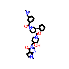 CN(C)Cc1cccc(C(=O)N2CC[C@@H](C(=O)N3CCC(O)(Cn4cnc5c(ccn5C)c4=O)CC3)[C@H](c3ccccc3)C2)c1